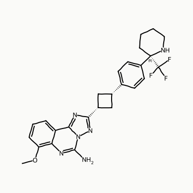 COc1cccc2c1nc(N)n1nc([C@H]3C[C@@H](c4ccc([C@@]5(C(F)(F)F)CCCCN5)cc4)C3)nc21